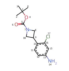 CC(C)(C)OC(=O)N1CC(c2ccc(N)cc2Cl)C1